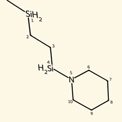 C[SiH2]CC[SiH2]N1CCCCC1